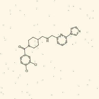 O=C(c1ccc(Cl)c(Cl)c1)N1CCC(CNCc2cccc(-n3ccnc3)n2)CC1